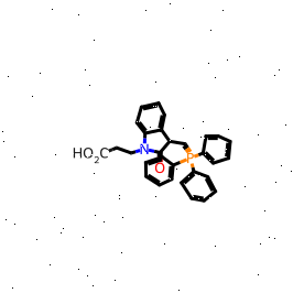 O=C(O)CCN1C(=O)C(C=P(c2ccccc2)(c2ccccc2)c2ccccc2)c2ccccc21